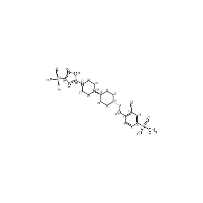 CS(=O)(=O)c1ccc(OC[C@H]2CC[C@H](N3CCN(c4nc(C(F)(F)F)no4)CC3)CC2)c(F)c1